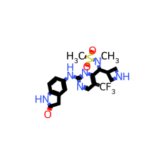 CN(C(c1nc(Nc2ccc3c(c2)CC(=O)N3)ncc1C(F)(F)F)C1CNC1)S(C)(=O)=O